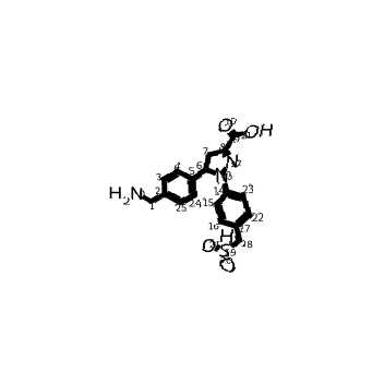 NCc1ccc(C2CC(C(=O)O)=NN2c2ccc(C[SH](=O)=O)cc2)cc1